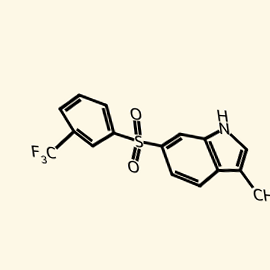 O=Cc1c[nH]c2cc(S(=O)(=O)c3cccc(C(F)(F)F)c3)ccc12